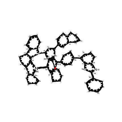 c1ccc(-c2nc(-c3ccc4ccccc4c3)nc(-n3c4ccccc4c4ccc5c6ccccc6n(-c6ccc(-c7ccc(-c8cccc9nc(-c%10ccccc%10)oc89)cc7)cc6)c5c43)n2)cc1